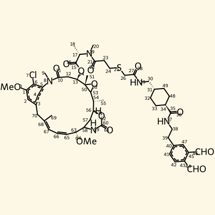 COc1cc2cc(c1Cl)N(C)C(=O)C[C@@H](OC(=O)[C@H](C)N(C)C(=O)CCSCC(=O)NC[C@H]1CC[C@H](C(=O)NCCc3ccc(C=O)c(C=O)c3)CC1)[C@]1(C)OC1[C@H](C)[C@@H]1CC(NC(=O)O1)[C@H](OC)/C=C\C=C(/C)C2